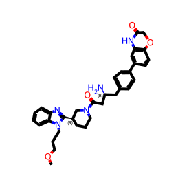 COCCCn1c([C@@H]2CCCN(C(=O)C[C@H](N)Cc3ccc(-c4ccc5c(c4)NC(=O)CO5)cc3)C2)nc2ccccc21